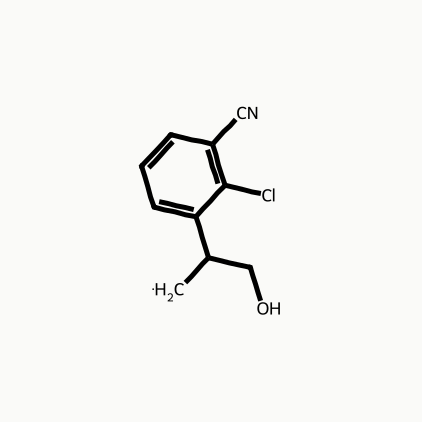 [CH2]C(CO)c1cccc(C#N)c1Cl